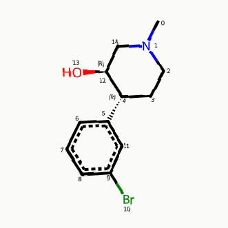 CN1CC[C@H](c2cccc(Br)c2)[C@@H](O)C1